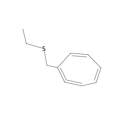 CCSCC1=C=CC=CC=C1